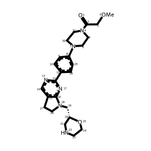 COCC(=O)N1CCN(c2ccc(-c3ncc4c(n3)N(C[C@H]3CNCCO3)CC4)cc2)CC1